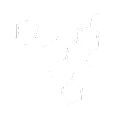 CSc1ncc2c(=O)n(-c3c(Cl)cccc3Cl)cc(CNc3ccccc3)c2n1